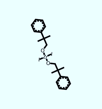 CC(C)(C[O][Zr]([I])([I])[O]CC(C)(C)c1ccccc1)c1ccccc1